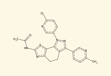 CC(=O)Nc1nc2c(s1)-c1c(c(-c3ccc(C)nc3)nn1-c1ccc(Cl)nc1)CC2